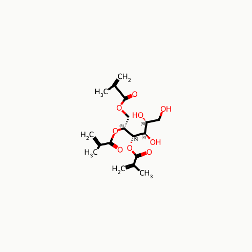 C=C(C)C(=O)OC[C@@H](OC(=O)C(=C)C)[C@@H](OC(=O)C(=C)C)[C@H](O)[C@H](O)CO